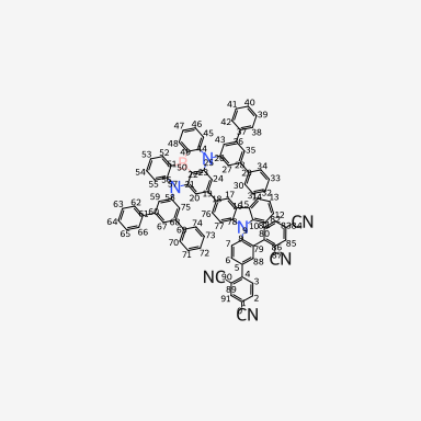 N#Cc1ccc(-c2ccc(-n3c4ccccc4c4cc(-c5cc6c7c(c5)N(c5cc(-c8ccccc8)cc(-c8ccccc8)c5)c5ccccc5B7c5ccccc5N6c5cc(-c6ccccc6)cc(-c6ccccc6)c5)ccc43)c(-c3ccc(C#N)cc3C#N)c2)c(C#N)c1